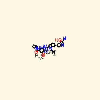 COc1cc(C(=O)N2CC3CCC2C3N)cc2nc(-c3cc4ccc(-c5ccc6ncc(C#N)c(O)c6c5)cc4n3CC3CC3)n(C)c12